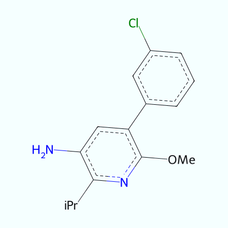 COc1nc(C(C)C)c(N)cc1-c1cccc(Cl)c1